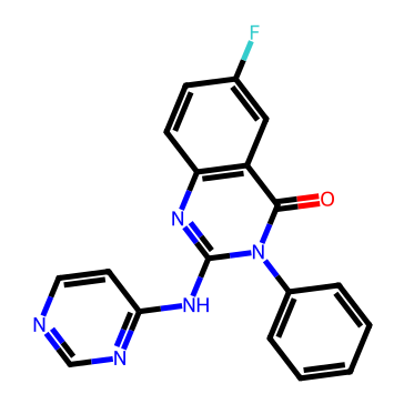 O=c1c2cc(F)ccc2nc(Nc2ccncn2)n1-c1ccccc1